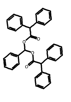 O=C(OC(OC(=O)C(c1ccccc1)c1ccccc1)c1ccccc1)C(c1ccccc1)c1ccccc1